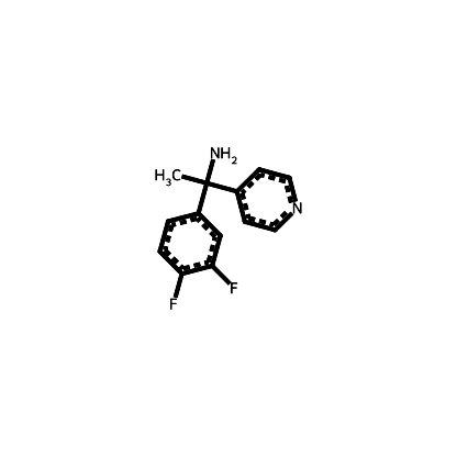 CC(N)(c1ccncc1)c1ccc(F)c(F)c1